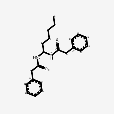 CCCCCC(NC(=O)Cc1ccccc1)NC(=O)Cc1ccccc1